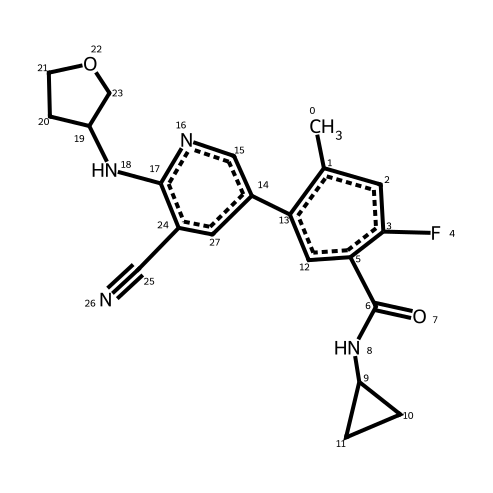 Cc1cc(F)c(C(=O)NC2CC2)cc1-c1cnc(NC2CCOC2)c(C#N)c1